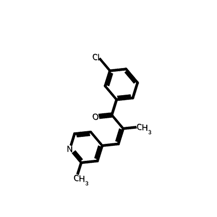 C/C(=C/c1ccnc(C)c1)C(=O)c1cccc(Cl)c1